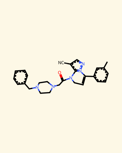 Cc1cccc(C2=CCN(C(=O)CN3CCN(Cc4ccccc4)CC3)c3c(C#N)cnn32)c1